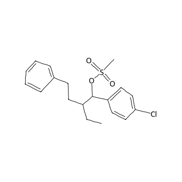 CCC(CCc1ccccc1)C(OS(C)(=O)=O)c1ccc(Cl)cc1